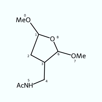 COC1CC(CNC(C)=O)C(OC)O1